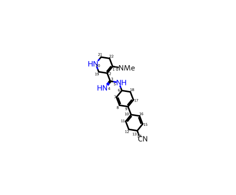 CNC1=C(C(=N)NC2C=CC(C3=CCC(C#N)C=C3)=CC2)CNCC1